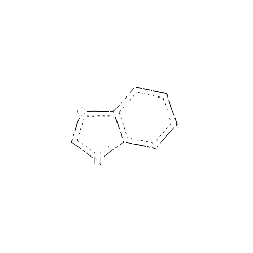 [c]1[c]c2ncoc2cc1